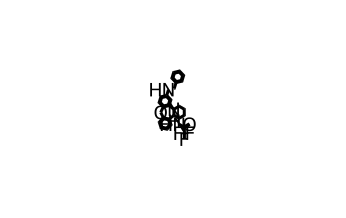 O=C(N[C@H]1CCCN2c3cc(NCc4ccccc4)ccc3Oc3ccccc3[C@H]12)C(F)(F)F